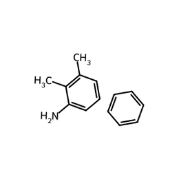 Cc1cccc(N)c1C.c1ccccc1